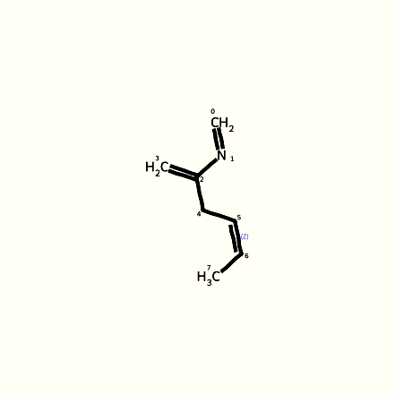 C=NC(=C)C/C=C\C